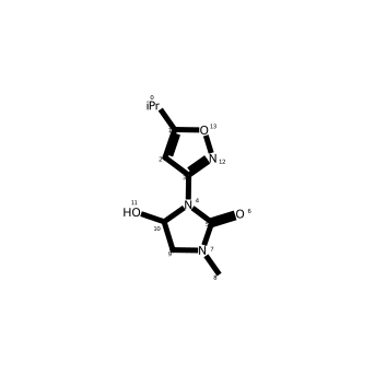 CC(C)c1cc(N2C(=O)N(C)CC2O)no1